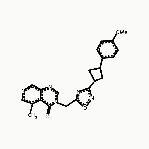 COc1ccc(C2CC(c3noc(Cn4cnc5cncc(C)c5c4=O)n3)C2)cc1